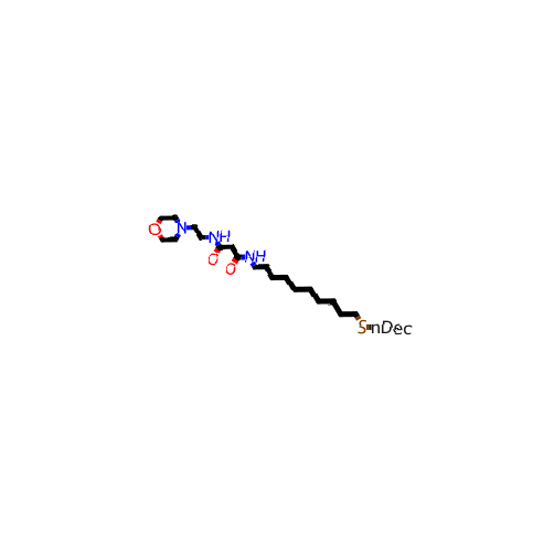 CCCCCCCCCCSCCCCCCCCCCNC(=O)CC(=O)NCCN1CCOCC1